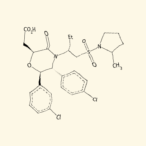 CCC(CS(=O)(=O)N1CCCC1C)N1C(=O)[C@H](CC(=O)O)O[C@H](c2cccc(Cl)c2)[C@H]1c1ccc(Cl)cc1